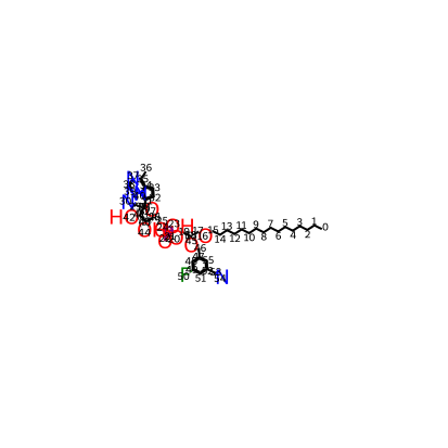 CCCCCCCCCCCCCCCCOC[C@H](COP(=O)(O)OC[C@H]1O[C@@](C#N)(c2ccc3c(C)ncnn23)[C@H](O)[C@@H]1O)OCc1cc(F)cc(C#N)c1